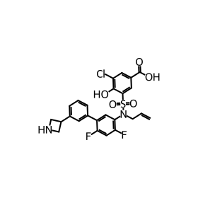 C=CCN(c1cc(-c2cccc(C3CNC3)c2)c(F)cc1F)S(=O)(=O)c1cc(C(=O)O)cc(Cl)c1O